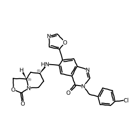 O=C1OC[C@@H]2C[C@@H](Nc3cc4c(=O)n(Cc5ccc(Cl)cc5)cnc4cc3-c3cnco3)CCN12